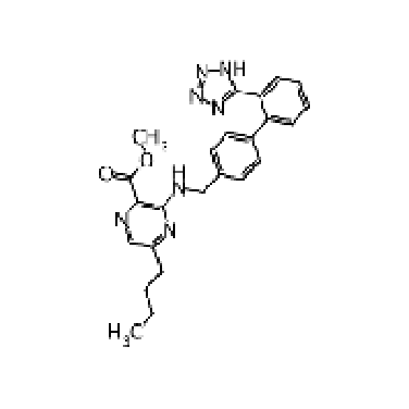 CCCCc1cnc(C(=O)OC)c(NCc2ccc(-c3ccccc3-c3nnn[nH]3)cc2)n1